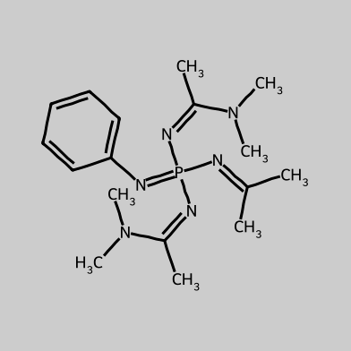 CC(C)=NP(N=C(C)N(C)C)(N=C(C)N(C)C)=Nc1ccccc1